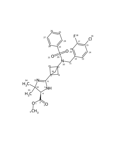 COC(=O)[C@@H]1NC(C23CC(N(Cc4ccc(Cl)c(F)c4)S(=O)(=O)c4ccccc4)(C2)C3)=NC1(C)C